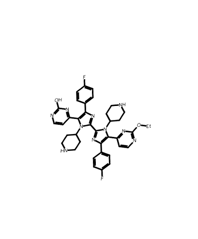 CCOc1nccc(-c2c(-c3ccc(F)cc3)nc(-c3nc(-c4ccc(F)cc4)c(-c4ccnc(O)n4)n3C3CCNCC3)n2C2CCNCC2)n1